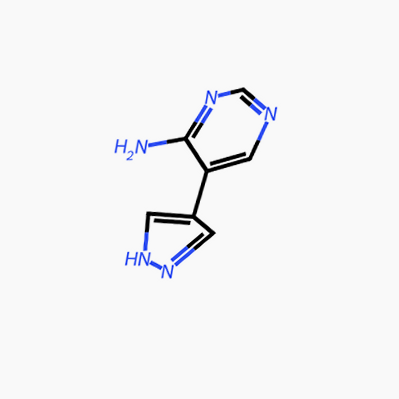 Nc1ncncc1-c1cn[nH]c1